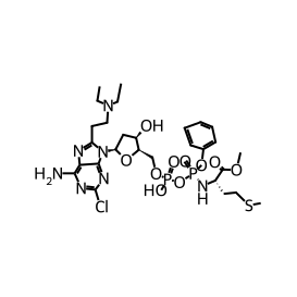 CCN(CC)CCc1nc2c(N)nc(Cl)nc2n1[C@H]1C[C@@H](O)[C@@H](COP(=O)(O)OP(=O)(N[C@@H](CCSC)C(=O)OC)Oc2ccccc2)O1